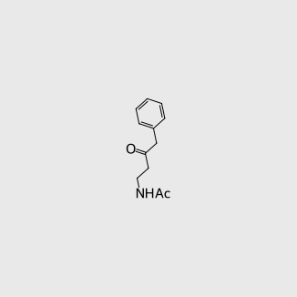 CC(=O)NCCC(=O)Cc1ccccc1